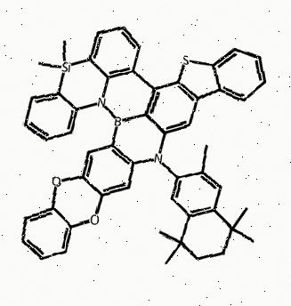 Cc1cc2c(cc1N1c3cc4c(cc3B3c5c1cc1c(sc6ccccc61)c5-c1cccc5c1N3c1ccccc1[Si]5(C)C)Oc1ccccc1O4)C(C)(C)CCC2(C)C